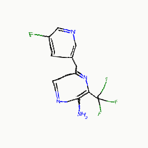 Nc1ncc(-c2cncc(F)c2)nc1C(F)(F)F